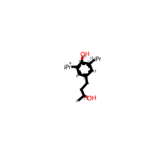 CC(O)CCc1cc(C(C)C)c(O)c(C(C)C)c1